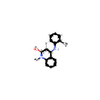 CC(=O)N1c2ccccc2[C@H](Nc2ccccc2C#N)[C@@H](C)[C@@H]1O